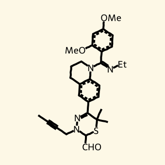 CC#CCN1N=C(c2ccc3c(c2)CCCN3C(=NCC)c2ccc(OC)cc2OC)C(C)(C)SC1C=O